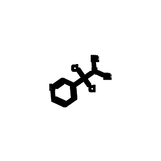 CCN(CC)C(Cl)(Cl)c1cccnc1